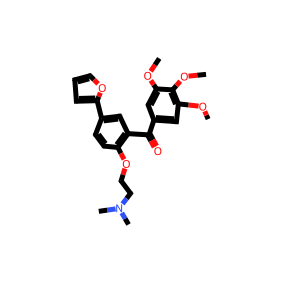 COc1cc(C(=O)c2cc(-c3ccco3)ccc2OCCN(C)C)cc(OC)c1OC